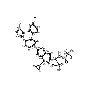 Cn1cnnc1-c1cc(F)ccc1-c1cccc(-c2nc3cc(C(N[S+]([O-])C(C)(C)C)C(F)(F)F)cc(C4CC4)c3o2)c1